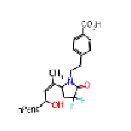 CCCCC[C@H](O)/C=C(/C)C1CC(F)(F)C(=O)N1CCc1ccc(C(=O)O)cc1